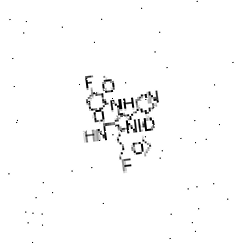 COc1c(F)cccc1Nc1c(-c2ccncc2OCC2CCO2)[nH]c2c1C(=O)NCC2CCF